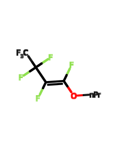 CCCOC(F)=C(F)C(F)(F)C(F)(F)F